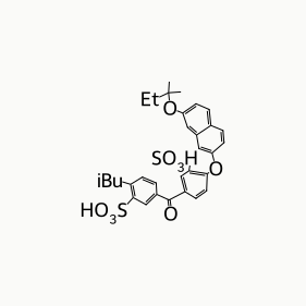 CCC(C)c1ccc(C(=O)c2ccc(Oc3ccc4ccc(OC(C)(C)CC)cc4c3)c(S(=O)(=O)O)c2)cc1S(=O)(=O)O